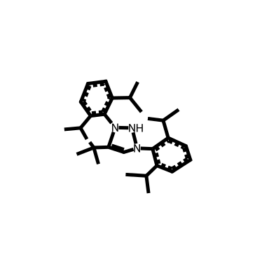 CC(C)c1cccc(C(C)C)c1N1C=C(C(C)(C)C)N(c2c(C(C)C)cccc2C(C)C)N1